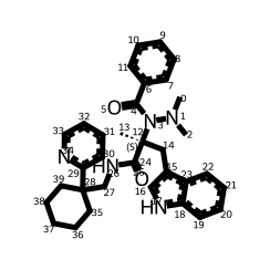 CN(C)N(C(=O)c1ccccc1)[C@@](C)(Cc1c[nH]c2ccccc12)C(=O)NCC1(c2ccccn2)CCCCC1